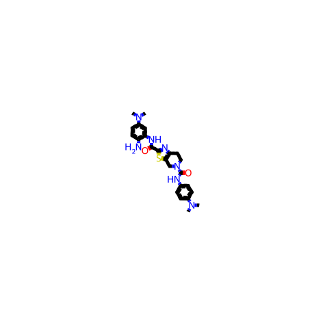 CN(C)c1ccc(NC(=O)N2CCc3nc(C(=O)Nc4cc(N(C)C)ccc4N)sc3C2)cc1